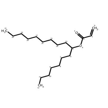 C=CC(=O)OC(CCCCCCC)CCCCCCCCC